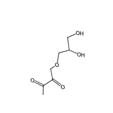 CC(=O)C(=O)COCC(O)CO